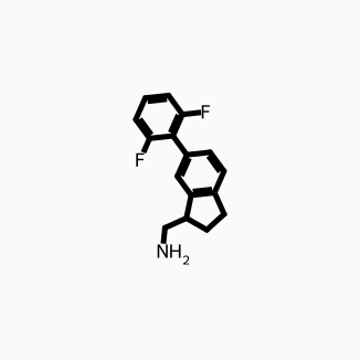 NCC1CCc2ccc(-c3c(F)cccc3F)cc21